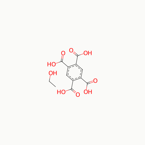 CCO.O=C(O)c1cc(C(=O)O)c(C(=O)O)cc1C(=O)O